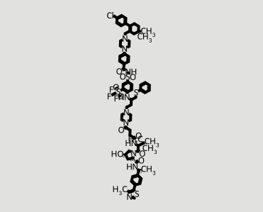 Cc1ncsc1-c1ccc([C@H](C)NC(=O)[C@@H]2C[C@@H](O)CN2C(=O)C(NC(=O)CCC(=O)N2CCN(CCC(CSc3ccccc3)Nc3ccc(S(=O)(=O)NC(=O)c4ccc(N5CCN(CC6=C(c7ccc(Cl)cc7)CCC(C)(C)C6)CC5)cc4)cc3S(=O)(=O)C(F)(F)F)CC2)C(C)(C)C)cc1